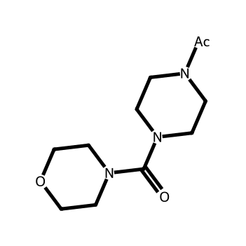 CC(=O)N1CCN(C(=O)N2CCOCC2)CC1